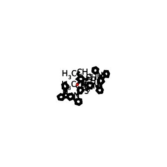 CC(C)c1cc(C(C)C)c(B2c3ccc(-n4c5ccccc5c5cc6c7ccccc7n(-c7ccccc7)c6cc54)cc3Sc3cc(-n4c5ccccc5c5cc6c7ccccc7n(-c7ccccc7)c6cc54)ccc32)c(C(C)C)c1